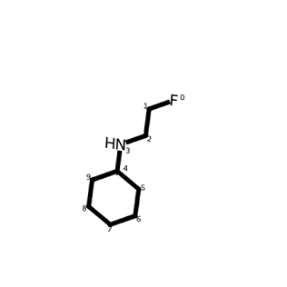 FCCN[C]1CCCCC1